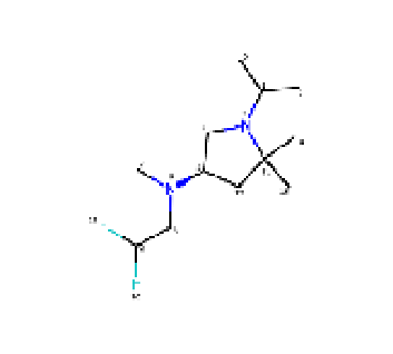 CC(C)N1C[C@H](N(C)CC(F)F)CC1(C)C